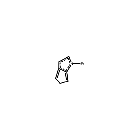 CC(C)n1ccc2c1=CCC=2